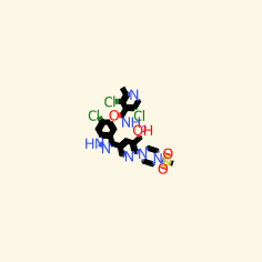 Cc1ncc(Cl)c([C@@H](N)Oc2cc3c(-c4cnc(N5CCN(S(C)(=O)=O)CC5)c(CO)c4)n[nH]c3cc2Cl)c1Cl